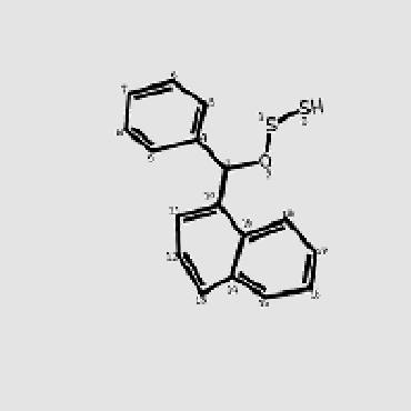 SSOC(c1ccccc1)c1cccc2ccccc12